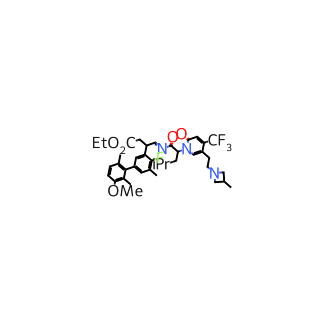 CCOC(=O)CC(C=NC(=O)C(CC(C)C)n1cc(CCN2CC(C)C2)c(C(F)(F)F)cc1=O)c1cc(-c2c(C)ccc(OC)c2C)cc(C)c1F